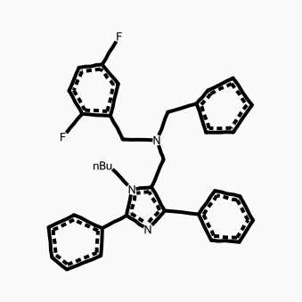 CCCCn1c(-c2ccccc2)nc(-c2ccccc2)c1CN(Cc1ccccc1)Cc1cc(F)ccc1F